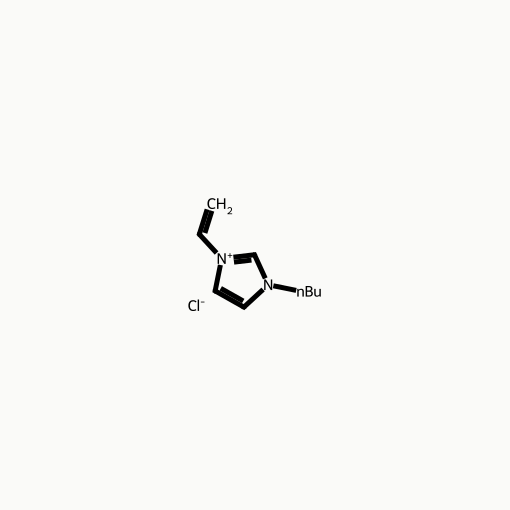 C=C[n+]1ccn(CCCC)c1.[Cl-]